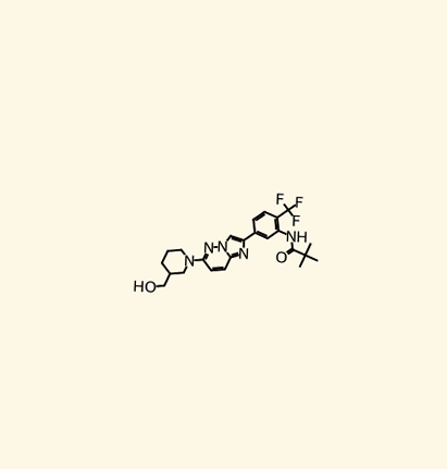 CC(C)(C)C(=O)Nc1cc(-c2cn3nc(N4CCCC(CO)C4)ccc3n2)ccc1C(F)(F)F